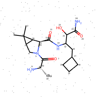 CC1(C)C2CN(C(=O)[C@@H](N)C(C)(C)C)[C@H](C(=O)NC(CC3CCC3)C(O)C(N)=O)C21